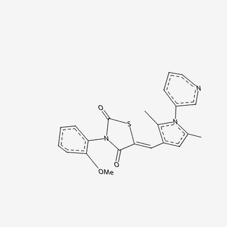 COc1ccccc1N1C(=O)SC(=Cc2cc(C)n(-c3cccnc3)c2C)C1=O